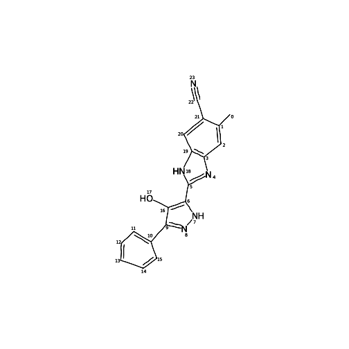 Cc1cc2nc(-c3[nH]nc(-c4ccccc4)c3O)[nH]c2cc1C#N